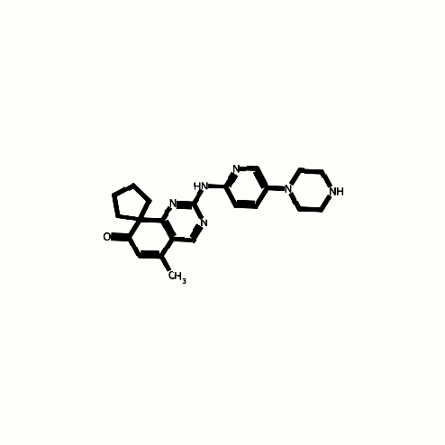 CC1=CC(=O)C2(CCCC2)c2nc(Nc3ccc(N4CCNCC4)cn3)ncc21